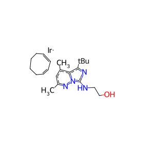 C1=CCCCCC=C1.Cc1cc(C)c2c(C(C)(C)C)nc(NCCO)n2n1.[Ir]